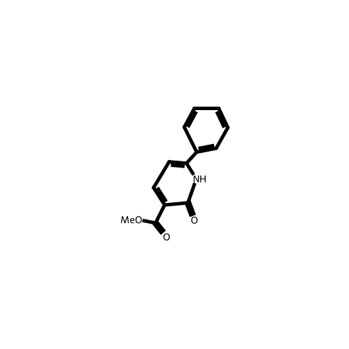 COC(=O)c1ccc(-c2ccccc2)[nH]c1=O